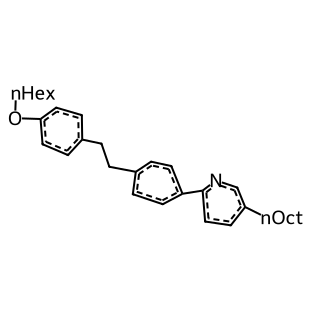 CCCCCCCCc1ccc(-c2ccc(CCc3ccc(OCCCCCC)cc3)cc2)nc1